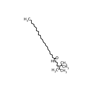 CCCCCCCCCCCCCCCCCCCCCC(=O)NCCN(C(C)C)C(C)C